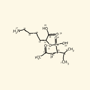 CC(=O)N[C@H](C(C)C)P(=O)(O)OC(CCCCN)C(=O)O